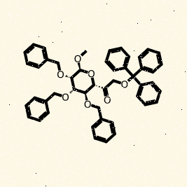 CO[C@H]1O[C@H](C(=O)COC(c2ccccc2)(c2ccccc2)c2ccccc2)[C@@H](OCc2ccccc2)[C@H](OCc2ccccc2)[C@@H]1OCc1ccccc1